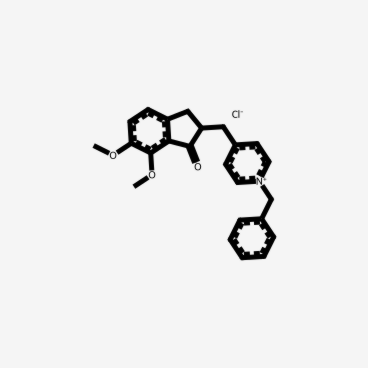 COc1ccc2c(c1OC)C(=O)C(Cc1cc[n+](Cc3ccccc3)cc1)C2.[Cl-]